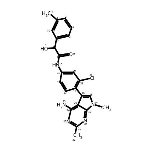 Cc1cccc(C(O)C(=O)Nc2ccc(-c3cn(C)c4nc(C)nc(N)c34)c(Cl)c2)c1